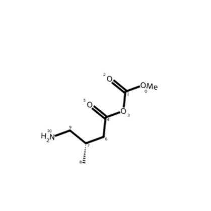 COC(=O)OC(=O)C[C@H](C)CN